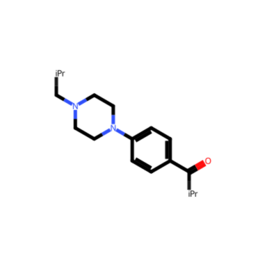 CC(C)CN1CCN(c2ccc(C(=O)C(C)C)cc2)CC1